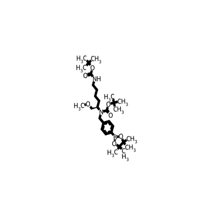 COC[C@@H](CCCCNC(=O)OC(C)(C)C)N(Cc1ccc(B2OC(C)(C)C(C)(C)O2)cc1)C(=O)OC(C)(C)C